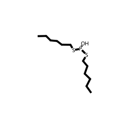 CCCCCCSP(O)SCCCCCC